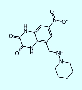 O=c1[nH]c2cc([N+](=O)[O-])cc(CNN3CC[CH]CC3)c2[nH]c1=O